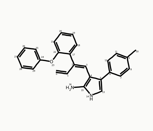 C=C/C(=C\c1c(-c2ccc(C)cc2)c[nH]c1N)c1ccccc1Oc1ccccc1